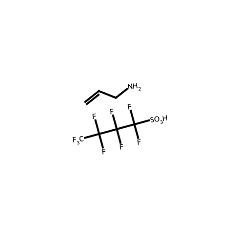 C=CCN.O=S(=O)(O)C(F)(F)C(F)(F)C(F)(F)C(F)(F)F